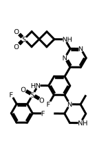 CC1CNCC(C)N1c1cc(-c2ccnc(NC3CC4(C3)CS(=O)(=O)C4)n2)cc(NS(=O)(=O)c2c(F)cccc2F)c1F